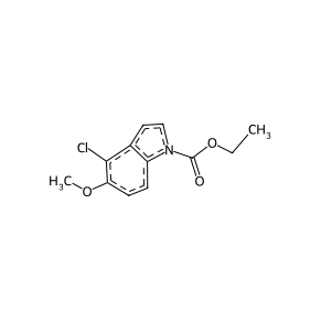 CCOC(=O)n1ccc2c(Cl)c(OC)ccc21